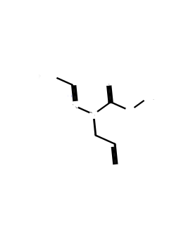 C=CCN(/N=C/C(=O)O)C(=O)OC(C)(C)C